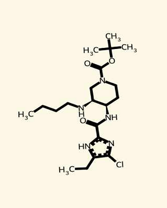 CCCCN[C@H]1CN(C(=O)OC(C)(C)C)CC[C@H]1NC(=O)c1nc(Cl)c(CC)[nH]1